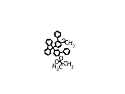 COc1ccc(C2(c3ccc(OC(=O)C(C)C)c(-c4ccccc4)c3)c3ccccc3-c3ccccc32)cc1-c1ccccc1